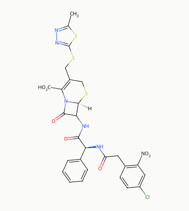 Cc1nnc(SCC2=C(C(=O)O)N3C(=O)C(NC(=O)[C@@H](NC(=O)Cc4ccc(Cl)cc4[N+](=O)[O-])c4ccccc4)[C@@H]3SC2)s1